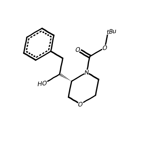 CC(C)(C)OC(=O)N1CCOC[C@@H]1C(O)Cc1ccccc1